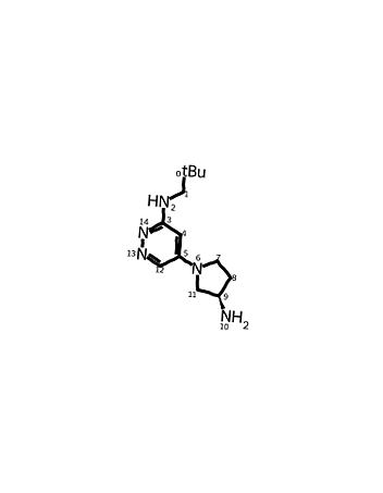 CC(C)(C)CNc1cc(N2CC[C@@H](N)C2)cnn1